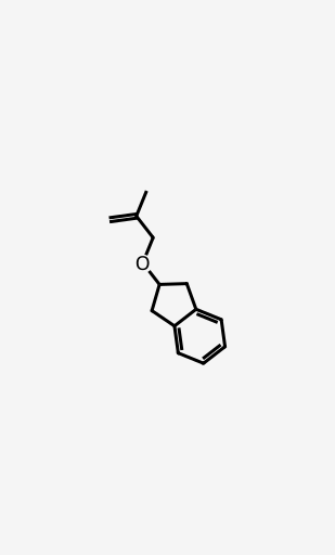 C=C(C)COC1Cc2ccccc2C1